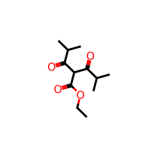 CCOC(=O)C(C(=O)C(C)C)C(=O)C(C)C